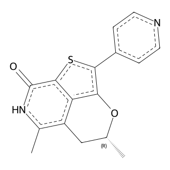 Cc1[nH]c(=O)c2sc(-c3ccncc3)c3c2c1C[C@@H](C)O3